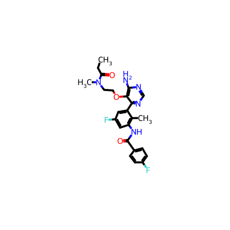 CCC(=O)N(C)CCOc1c(N)ncnc1-c1cc(F)cc(NC(=O)c2ccc(F)cc2)c1C